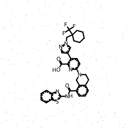 O=C(Nc1nc2ccccc2s1)c1cccc2c1CN(c1ccc(-c3cnn(CC4(C(F)(F)F)CCCCC4)c3)c(C(=O)O)n1)CC2